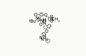 CC(C)(C)c1cc(NC(=O)N[C@H]2CC[C@@H](Oc3ccc4nnc(N5CCCCC5)n4c3)c3ccccc32)n(-c2cc(OCCOS(C)(=O)=O)ccc2Cl)n1